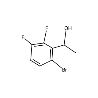 CC(O)c1c(Br)ccc(F)c1F